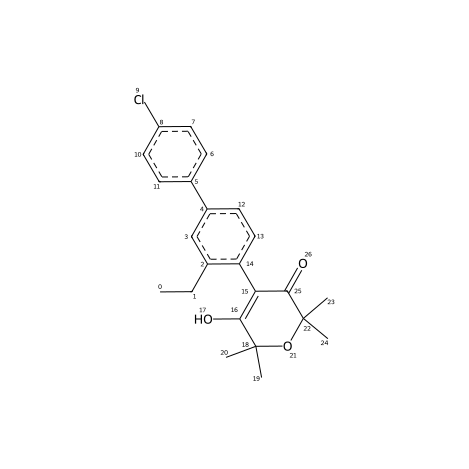 CCc1cc(-c2ccc(Cl)cc2)ccc1C1=C(O)C(C)(C)OC(C)(C)C1=O